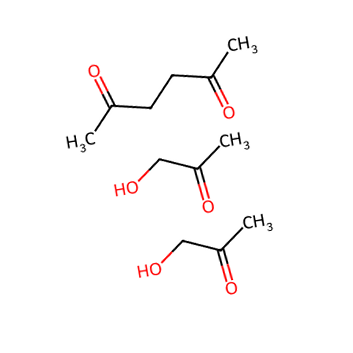 CC(=O)CCC(C)=O.CC(=O)CO.CC(=O)CO